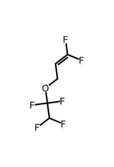 FC(F)=CCOC(F)(F)C(F)F